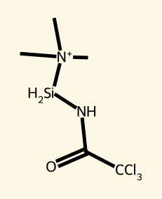 C[N+](C)(C)[SiH2]NC(=O)C(Cl)(Cl)Cl